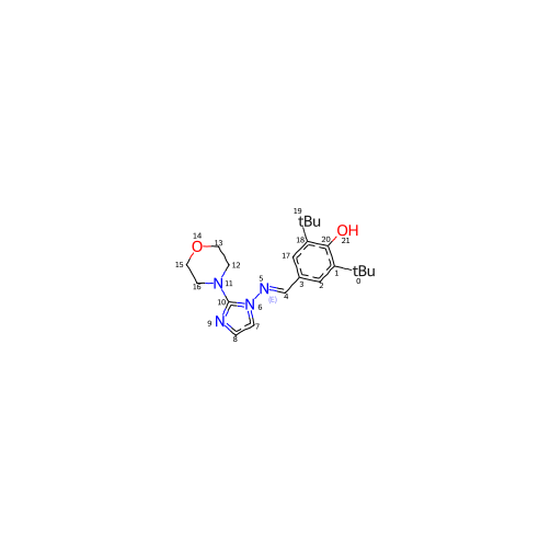 CC(C)(C)c1cc(/C=N/n2ccnc2N2CCOCC2)cc(C(C)(C)C)c1O